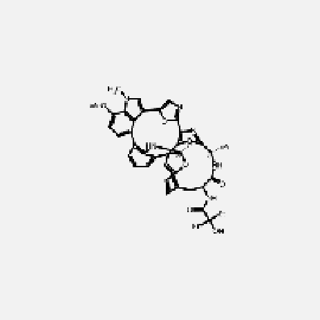 CCC(O)(CC)C(=O)NC1Cc2ccc3c(c2)C24c5cccc(c5N[C@H]2O3)-c2ccc(OC)c3c2c(cn3C)-c2cnc(o2)-c2nc(oc24)[C@H](C(C)C)NC1=O